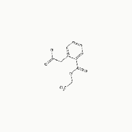 O=C(Cl)Cc1ccccc1C(=O)OCC(Cl)(Cl)Cl